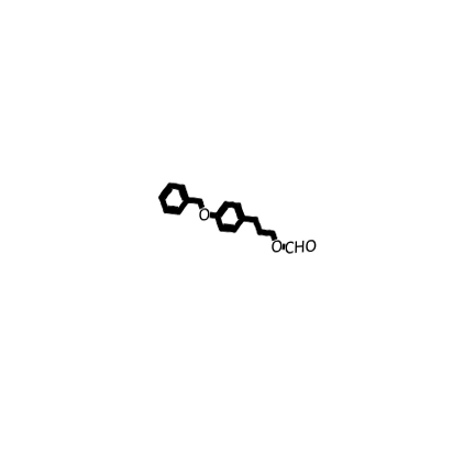 O=COCCCc1ccc(OCc2ccccc2)cc1